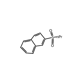 C[CH]CS(=O)(=O)c1ccc2ccccc2c1